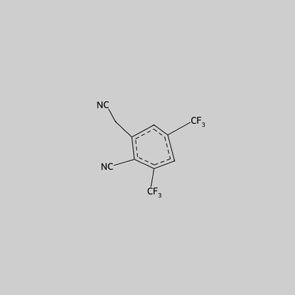 N#CCc1cc(C(F)(F)F)cc(C(F)(F)F)c1C#N